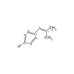 CC(C)=Cc1ccc(F)cc1